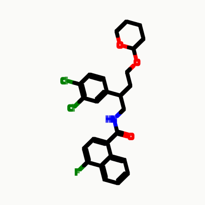 O=C(NCC(CCOC1CCCCO1)c1ccc(Cl)c(Cl)c1)c1ccc(F)c2ccccc12